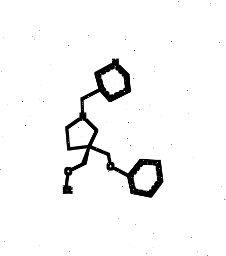 CCOC[C@@]1(COc2ccccc2)CCN(Cc2cccnc2)C1